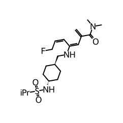 C=C(/C=C(\C=C/CF)NC[C@H]1CC[C@H](NS(=O)(=O)C(C)C)CC1)C(=O)N(C)C